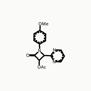 COc1ccc(N2C(=O)C(OC(C)=O)C2c2ncccn2)cc1